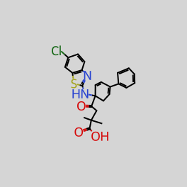 CC(C)(CC(=O)C1(Nc2nc3ccc(Cl)cc3s2)C=CC(c2ccccc2)=CC1)C(=O)O